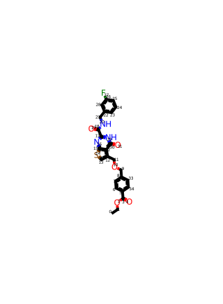 CCOC(=O)c1ccc(COCc2csc3nc(C(=O)NCc4cccc(F)c4)[nH]c(=O)c23)cc1